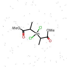 COC(=O)[CH](C)[Sn]([Cl])([Cl])[CH](C)C(=O)OC